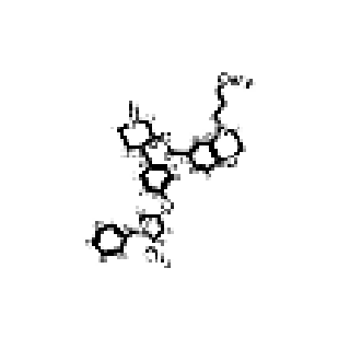 COCCCN1CCOc2ccc(COC3CNCCC3c3ccc(O[C@H]4C[C@H](C)N(c5ccccc5)C4)cc3)cc21